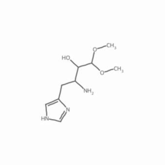 COC(OC)C(O)C(N)Cc1c[nH]cn1